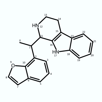 CC(c1cccc2ccoc12)C1NCCc2c1[nH]c1ccccc21